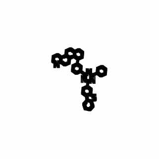 c1ccc(-c2nc(-c3cccc(-c4cccc5ccc6c7cccnc7ccc6c45)c3)nc(-c3ccc4c(c3)sc3ccccc34)n2)cc1